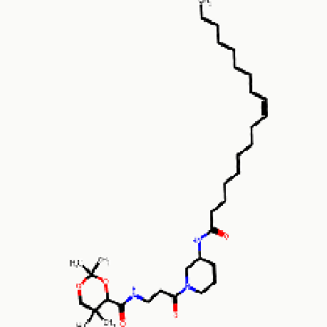 CCCCCCCC/C=C\CCCCCCCC(=O)NC1CCCN(C(=O)CCNC(=O)C2OC(C)(C)OCC2(C)C)C1